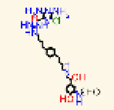 N=C(NCCCCc1ccc(CCCCNCC(O)c2ccc(O)c(NC=O)c2)cc1)NC(=O)c1nc(Cl)c(N)nc1N